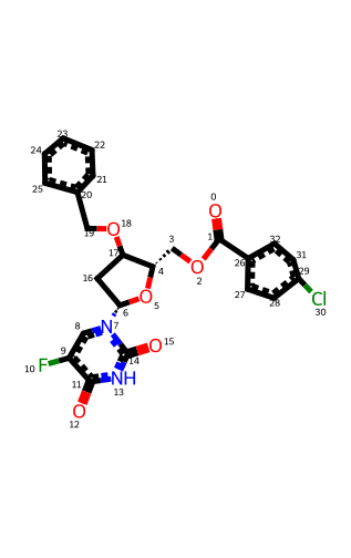 O=C(OC[C@@H]1O[C@H](n2cc(F)c(=O)[nH]c2=O)CC1OCc1ccccc1)c1ccc(Cl)cc1